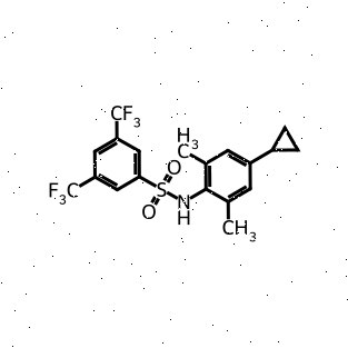 Cc1cc(C2CC2)cc(C)c1NS(=O)(=O)c1cc(C(F)(F)F)cc(C(F)(F)F)c1